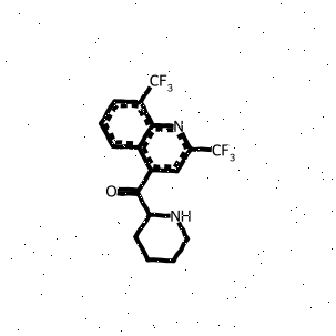 O=C(c1cc(C(F)(F)F)nc2c(C(F)(F)F)cccc12)C1CCCCN1